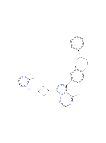 Cc1nccn1C[C@H]1C[C@@H](c2nc(-c3ccc4c(c3)O[C@@H](c3ccccc3)CC4)c3c(N)nccn32)C1